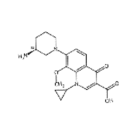 COc1c(N2CCC[C@H](N)C2)ccc2c(=O)c(C(=O)O)cn(C3CC3)c12